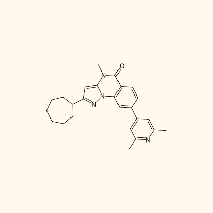 Cc1cc(-c2ccc3c(=O)n(C)c4cc(C5CCCCCC5)nn4c3c2)cc(C)n1